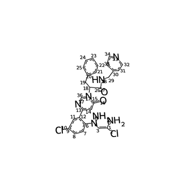 N/C(Cl)=C\N(N)c1ccc(Cl)cc1-c1cc(=O)n(C(Cc2ccccc2)C(=O)NCc2ccncc2)cn1